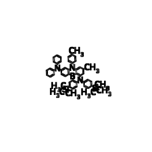 Cc1ccc(N2c3cc(N(c4ccccc4)c4ccccc4)ccc3B3c4cc([Si](C)(C)C)ccc4N(c4ccc([Si](C)(C)C)cc4)c4cc(C)cc2c43)cc1